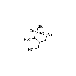 CN([C@H](CO)CC(C)(C)C)S(=O)(=O)C(C)(C)C